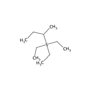 CCC(C)S(CC)(CC)CC